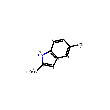 CCCCCc1cc2cc(C#N)ccc2[nH]1